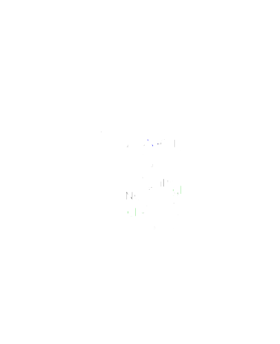 CC(C)C(C#N)(CCCN(C)Cc1ccccc1)c1c(Cl)cccc1Cl